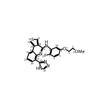 COCCOc1ccc(F)c(Nc2nc3c(-c4nnc[nH]4)cccc3c3cscc23)c1